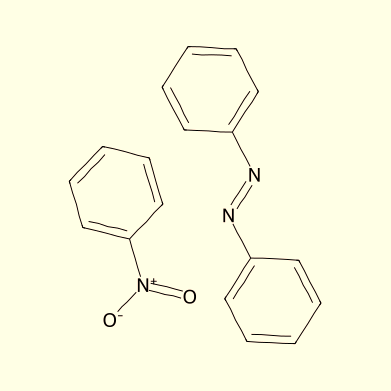 O=[N+]([O-])c1ccccc1.c1ccc(N=Nc2ccccc2)cc1